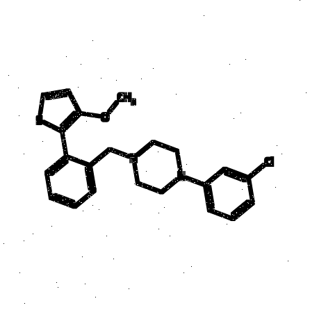 COc1ccsc1-c1ccccc1CN1CCN(c2cccc(Cl)c2)CC1